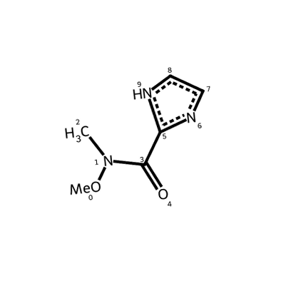 CON(C)C(=O)c1ncc[nH]1